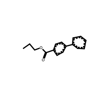 CCCOC(=O)c1ccc(-c2ccccc2)cc1